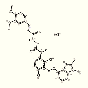 COc1ccc(/C=C/C(=O)NCC(=O)N(C)c2ccc(Cl)c(COc3cccn4c(Br)c(C)nc34)c2Cl)cc1OC.Cl